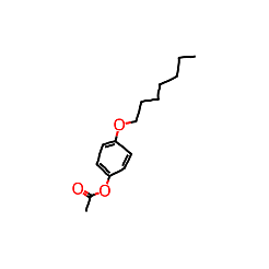 CCCCCCCOc1ccc(OC(C)=O)cc1